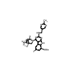 CNc1cc(F)cc2c1[nH]c1nc(NCc3cnc(C)nc3)nc(N3C[C@H]4[C@@H](C)[C@@H]3C[C@H]4N)c12